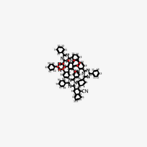 N#Cc1c(-c2ccc(-c3nc(-c4ccccc4)nc(-c4ccc(-c5cccc(-c6nc(-c7ccccc7)nc(-c7ccccc7-c7c(-c8ccccc8-c8ncnc(-c9ccccc9)n8)c(C#N)c8ccccc8c7C#N)n6)c5)cc4)n3)cc2)c(-c2nc(-c3ccccc3)nc(-c3ccccc3)n2)cc2ccccc12